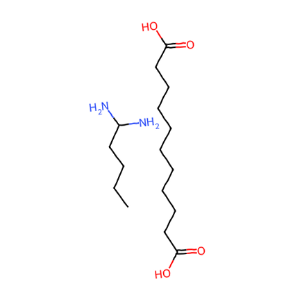 CCCCC(N)N.O=C(O)CCCCCCCCCC(=O)O